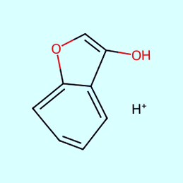 Oc1coc2ccccc12.[H+]